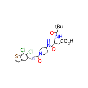 CC(C)(C)CC(=O)NCC(CC(=O)O)C(=O)NC1CCN(C(=O)/C=C/c2cc3ccsc3c(Cl)c2Cl)CC1